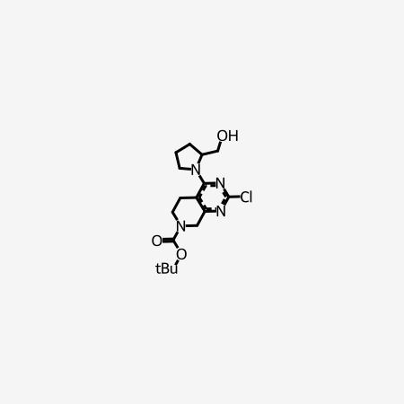 CC(C)(C)OC(=O)N1CCc2c(nc(Cl)nc2N2CCCC2CO)C1